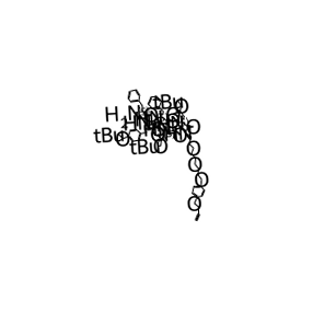 C#CCOc1ccc(OCCOCCOCCNC(=O)[C@H](CC(=O)OC(C)(C)C)NC(=O)[C@H](CC(=O)OC(C)(C)C)NC(=O)[C@H](Cc2ccccc2)NC(=O)[C@H](Cc2ccc(OC(C)(C)C)cc2)NC(=O)[C@@H](N)Cc2ccccc2)cc1